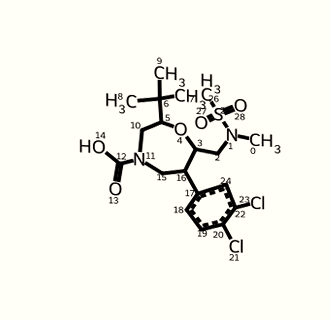 CN(CC1OC(C(C)(C)C)CN(C(=O)O)CC1c1ccc(Cl)c(Cl)c1)S(C)(=O)=O